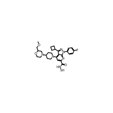 COCC1CN(C2CCN(c3cc(C(=O)NS)nc4c3c(C3CCC3)nn4-c3ccc(F)cc3)CC2)CCO1